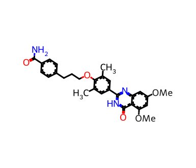 COc1cc(OC)c2c(=O)[nH]c(-c3cc(C)c(OCCCc4ccc(C(N)=O)cc4)c(C)c3)nc2c1